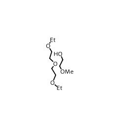 CCOCCOCCOCC.COCCO